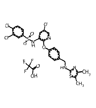 Cc1nc(NCc2ccc(Oc3ncc(Cl)cc3NS(=O)(=O)c3ccc(Cl)c(Cl)c3)cc2)sc1C.O=C(O)C(F)(F)F